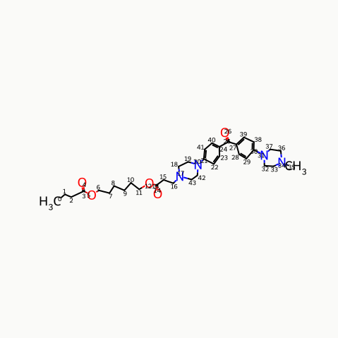 CCCC(=O)OCCCCCCOC(=O)CCN1CCN(c2ccc(C(=O)c3ccc(N4CCN(C)CC4)cc3)cc2)CC1